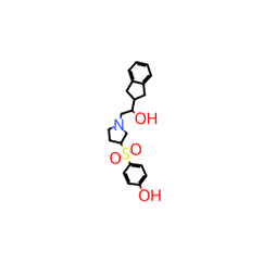 O=S(=O)(c1ccc(O)cc1)C1CCN(CC(O)C2Cc3ccccc3C2)C1